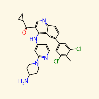 Cc1c(Cl)cc(-c2ccc3ncc(C(=O)C4CC4)c(Nc4ccnc(N5CCC(N)CC5)c4)c3c2)cc1Cl